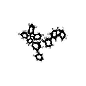 c1ccc(-c2cccc(N(c3cccc(-c4ccc5sc6ccccc6c5c4)c3)c3ccc4c(c3)C3(c5ccccc5-c5ccccc53)c3ccccc3-4)c2)cc1